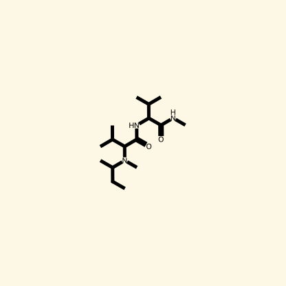 CCC(C)N(C)C(C(=O)NC(C(=O)NC)C(C)C)C(C)C